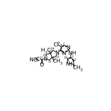 Cn1cc(Nc2ncc(Cl)c(N3C[C@]4(C)CN(C(=O)CC#N)C[C@]4(C)C3)n2)cn1